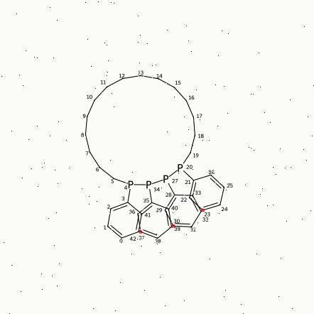 c1ccc(P2CCCCCCCCCCCCCCCP(c3ccccc3)P(c3ccccc3)P2c2ccccc2)cc1